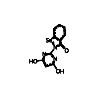 O=c1c2ccccc2[se]n1-c1nc(O)cc(O)n1